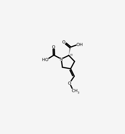 COC=C1C[C@@H](C(=O)O)N(C(=O)O)C1